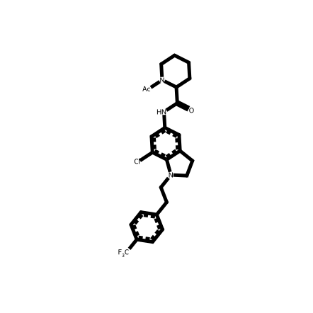 CC(=O)N1CCCCC1C(=O)Nc1cc(Cl)c2c(c1)CCN2CCc1ccc(C(F)(F)F)cc1